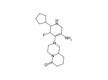 NC1=C(N2CCN3C(=O)CCCC3C2)C(F)C(C2CCCC2)NC1